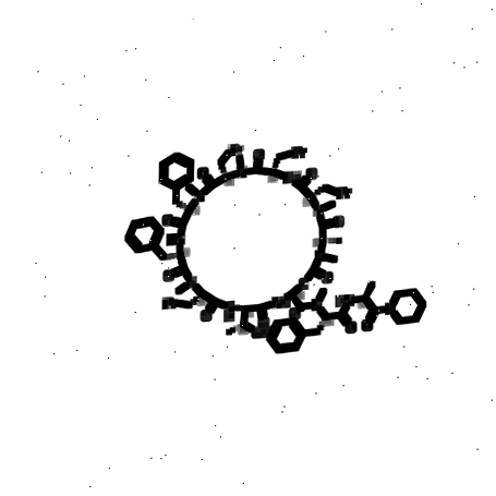 CC(C)C[C@@H]1NC(=O)[C@H](CC(C)C)N(C)C(=O)[C@H](C)N(C)C(=O)C[C@@H](C(=O)N(C)[C@@H](Cc2ccccc2)C(=O)N[C@@H](C)C(=O)N2CCCCC2)NC(=O)[C@H]([C@@H](C)O)NC(=O)[C@H](CC(C)C)N(C)C(=O)[C@H](Cc2ccccc2)NC(=O)[C@H](Cc2ccccc2)N(C)C(=O)[C@H](CC(C)C)N(C)C1=O